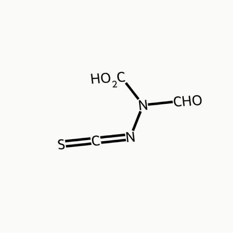 O=CN(N=C=S)C(=O)O